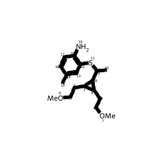 COCCC1C(CCOC)C1C(C)Sc1cc(C)ccc1N